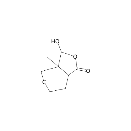 CC12CCCCC1C(=O)OC2O